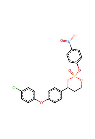 O=[N+]([O-])c1ccc(OP2(=O)OCCC(c3ccc(Oc4ccc(Cl)cc4)cc3)O2)cc1